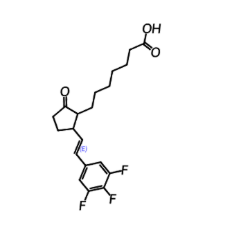 O=C(O)CCCCCCC1C(=O)CCC1/C=C/c1cc(F)c(F)c(F)c1